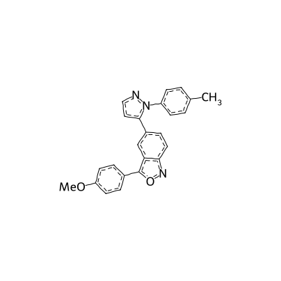 COc1ccc(-c2onc3ccc(-c4ccnn4-c4ccc(C)cc4)cc23)cc1